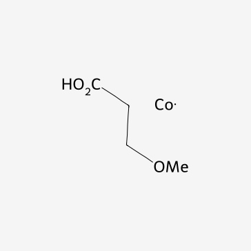 COCCC(=O)O.[Co]